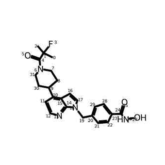 CC(C)(F)C(=O)N1CCC(c2ccnc3c2ccn3Cc2ccc(C(=O)NO)cc2)CC1